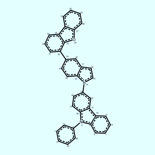 c1ccc(-n2c3ccccc3c3cc(-n4ccc5cc(-c6cccc7c6oc6ccccc67)ccc54)ccc32)cc1